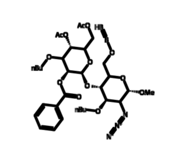 B=BOCC1O[C@H](OC)C(N=[N+]=[N-])[C@@H](OCCCC)[C@@H]1O[C@@H]1OC(COC(C)=O)[C@@H](OC(C)=O)C(OCCCC)[C@@H]1OC(=O)c1ccccc1